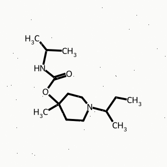 CCC(C)N1CCC(C)(OC(=O)NC(C)C)CC1